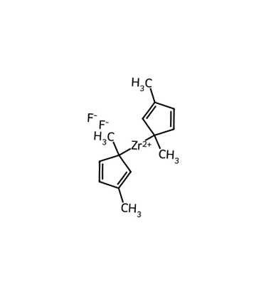 CC1=C[C](C)([Zr+2][C]2(C)C=CC(C)=C2)C=C1.[F-].[F-]